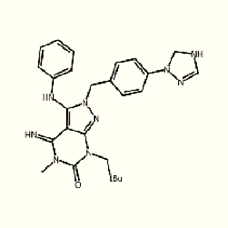 Cn1c(=N)c2c(Nc3ccccc3)n(Cc3ccc(N4CNC=N4)cc3)nc2n(CC(C)(C)C)c1=O